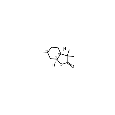 C[C@@H]1CC[C@@H]2[C@H](C1)OC(=O)C2(C)C